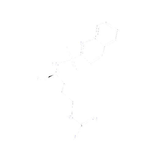 N=C(N)NCCC[C@H](NS(=O)(=O)c1ccc2ccccc2n1)C(=O)O